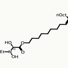 CCCCCCCC/C=C\CCCCCCCCOC(=O)[C@H](O)N(O)CC